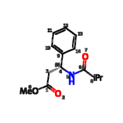 COC(=O)C[C@@H](NC(=O)C(C)C)c1ccccc1